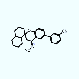 N#C/N=C1\CC2(CCCC3CCCCC32)Oc2ccc(-c3cccc(C#N)c3)cc21